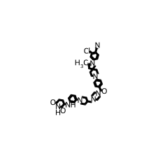 C[C@H]1CC2(CCN(c3ccc(C(=O)N4CCN(CC5CCN(c6cccc(NC7CCC(=O)NC7=O)c6)CC5)CC4)cc3)CC2)CN1c1ccc(C#N)c(Cl)c1